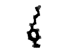 CC(C)(C)c1ccc(OCCC[S])cc1